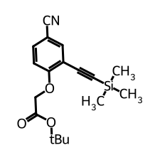 CC(C)(C)OC(=O)COc1ccc(C#N)cc1C#C[Si](C)(C)C